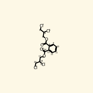 O=C(OCC(Cl)CCl)c1ccccc1C(=O)OCC(Cl)CCl